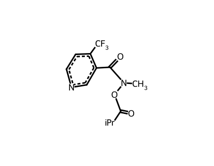 CC(C)C(=O)ON(C)C(=O)c1cnccc1C(F)(F)F